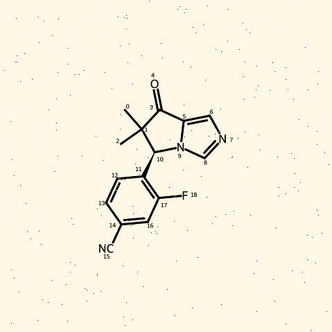 CC1(C)C(=O)c2cncn2[C@H]1c1ccc(C#N)cc1F